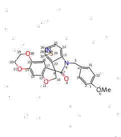 COc1ccc(CN2C(=O)C3(COc4cc5c(cc43)OCCO5)c3c2ccc2ncsc32)cc1